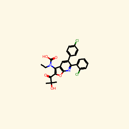 CCN(C(=O)O)c1c(C(=O)C(C)(C)O)oc2nc(-c3ccccc3Cl)c(-c3ccc(Cl)cc3)cc12